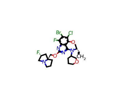 C=C[C@H]1COc2c(Cl)c(Br)c(F)c3nc(OC[C@@]45CCCN4C[C@H](F)C5)nc(c23)N1C1CCCOC1